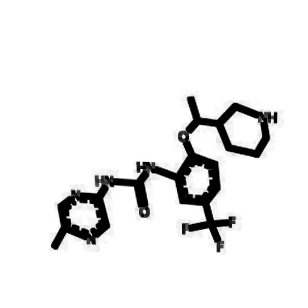 Cc1cnc(NC(=O)Nc2cc(C(F)(F)F)ccc2OC(C)C2CCCNC2)cn1